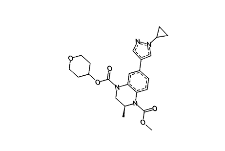 COC(=O)N1c2ccc(-c3cnn(C4CC4)c3)cc2N(C(=O)OC2CCOCC2)C[C@@H]1C